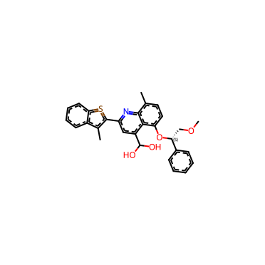 COC[C@@H](Oc1ccc(C)c2nc(-c3sc4ccccc4c3C)cc(C(O)O)c12)c1ccccc1